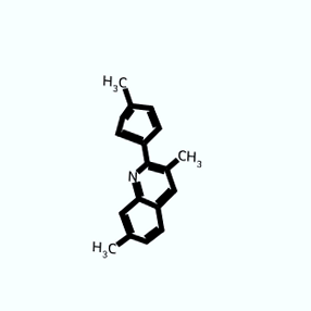 Cc1ccc(-c2nc3cc(C)ccc3cc2C)cc1